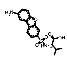 CC(C)[C@H](NS(=O)(=O)c1ccc2c(c1)oc1ccc(N)cc12)C(=O)O